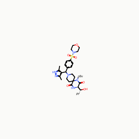 CCCCN1C(=O)[C@@H]([C@H](O)C(C)C)NC(=O)C12CCN(C(c1ccc(S(=O)(=O)N3CCOCC3)cc1)c1c(C)n[nH]c1C)CC2